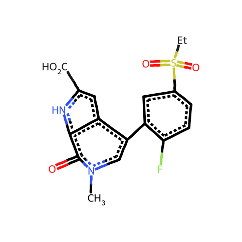 CCS(=O)(=O)c1ccc(F)c(-c2cn(C)c(=O)c3[nH]c(C(=O)O)cc23)c1